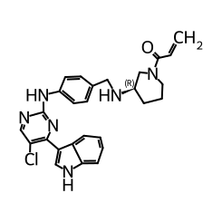 C=CC(=O)N1CCC[C@@H](NCc2ccc(Nc3ncc(Cl)c(-c4c[nH]c5ccccc45)n3)cc2)C1